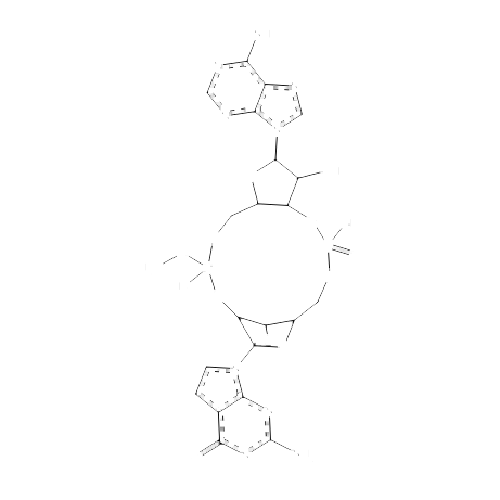 CO[PH]1(S)OCC2OC(n3cnc4c(N)ncnc43)C(O)C2OP(=O)(S)OCC2OC(n3ccc4c(=O)[nH]c(N)nc43)C(O1)C2O